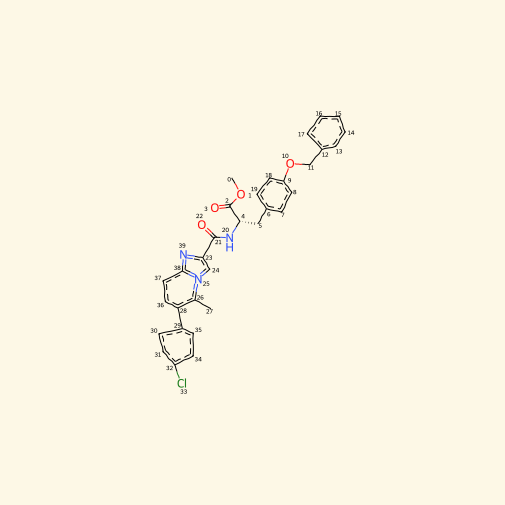 COC(=O)[C@H](Cc1ccc(OCc2ccccc2)cc1)NC(=O)c1cn2c(C)c(-c3ccc(Cl)cc3)ccc2n1